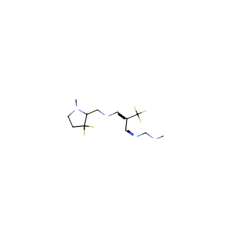 CNC/N=C\C(=C/NCC1N(C)CCC1(F)F)C(F)(F)F